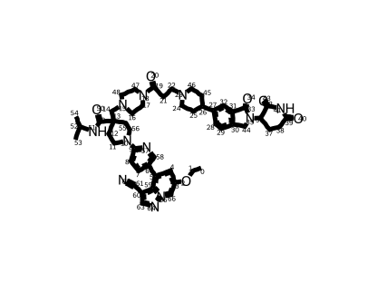 CCOc1cc(-c2ccc(N3CCC(CN4CCN(C(=O)CCN5CCC(c6ccc7c(c6)C(=O)N(C6CCC(=O)NC6=O)C7)CC5)CC4)(C(=O)NC(C)C)CC3)nc2)c2c(C#N)cnn2c1